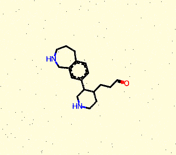 O=CCCC1CCNCC1c1ccc2c(c1)CNCCC2